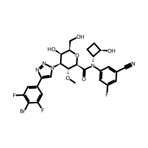 CO[C@@H]1[C@@H](n2cc(-c3cc(F)c(Br)c(F)c3)nn2)[C@@H](O)[C@@H](CO)O[C@H]1C(=O)N(c1cc(F)cc(C#N)c1)[C@@H]1CC[C@H]1O